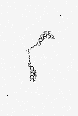 CCOc1ccc(C(F)(F)Oc2ccc(OCCCCCCCC(C)CCCCCCCOc3ccc(OC(F)(F)c4ccc(C)c(F)c4F)cc3)cc2)c(F)c1F